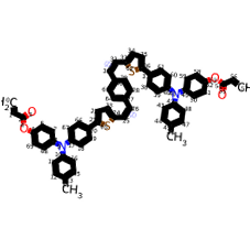 C=CC(=O)Oc1ccc(N(c2ccc(C)cc2)c2ccc(-c3ccc(/C=C\c4ccc(/C=C\c5ccc(-c6ccc(N(c7ccc(C)cc7)c7ccc(OC(=O)C=C)cc7)cc6)s5)cc4)s3)cc2)cc1